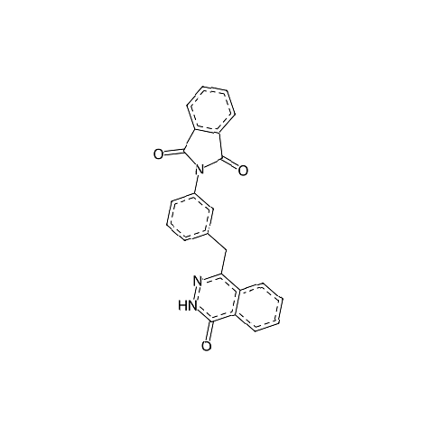 O=C1c2ccccc2C(=O)N1c1cccc(Cc2n[nH]c(=O)c3ccccc23)c1